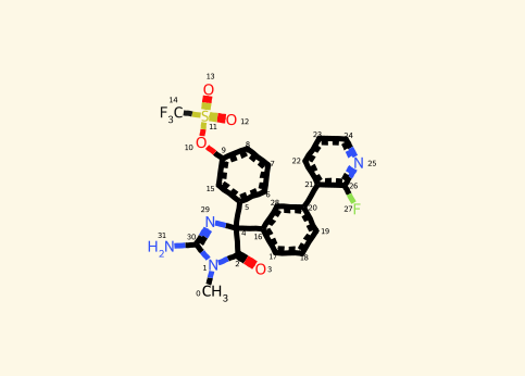 CN1C(=O)C(c2cccc(OS(=O)(=O)C(F)(F)F)c2)(c2cccc(-c3cccnc3F)c2)N=C1N